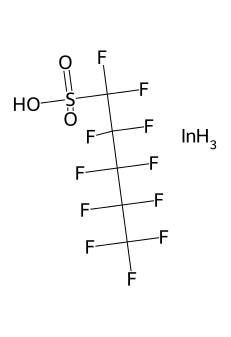 O=S(=O)(O)C(F)(F)C(F)(F)C(F)(F)C(F)(F)C(F)(F)F.[InH3]